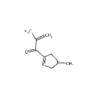 C=C(C)C(=O)C1=CCN(C)C1